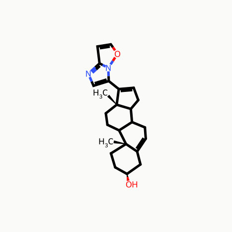 C[C@]12CC[C@H](O)CC1=CCC1C2CC[C@]2(C)C(c3cnc4ccon34)=CCC12